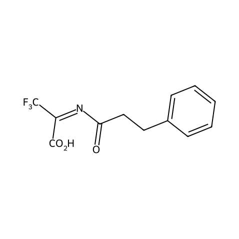 O=C(CCc1ccccc1)/N=C(\C(=O)O)C(F)(F)F